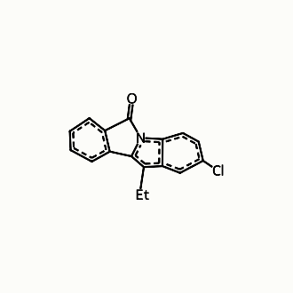 CCc1c2n(c3ccc(Cl)cc13)C(=O)c1ccccc1-2